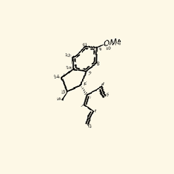 C=C/C=C(\C=C)[C@H]1c2cc(OC)ccc2C[C@@H]1C